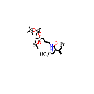 C=C(CC(C)C)C(CC(=O)O)C(=O)NCCC[Si](C)(O[Si](C)(C)C)O[Si](C)(C)O[Si](C)(C)C